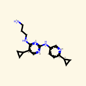 NCCCNc1nc(Nc2ccc(C3CC3)nc2)ncc1C1CC1